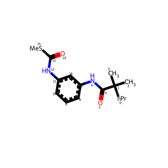 CCCC(C)(C)C(=O)Nc1cccc(NC(=O)SC)c1